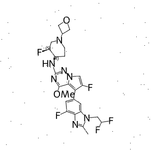 COc1nc(N[C@@H]2CCN(C3COC3)C[C@@H]2F)nn2cc(F)c(-c3cc(F)c4nc(C)n(CC(F)F)c4c3)c12